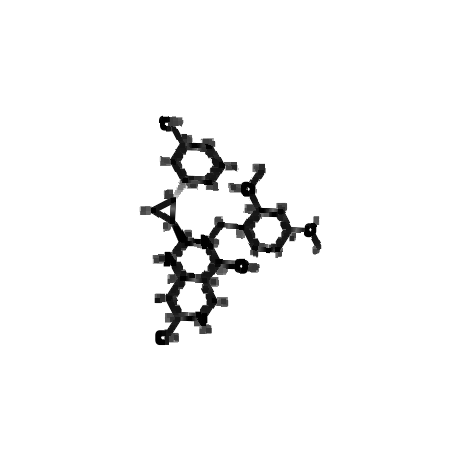 COc1ccc(Cn2c([C@H]3C[C@@H]3c3cccc(Cl)c3)nc3cc(Cl)ncc3c2=O)c(OC)c1